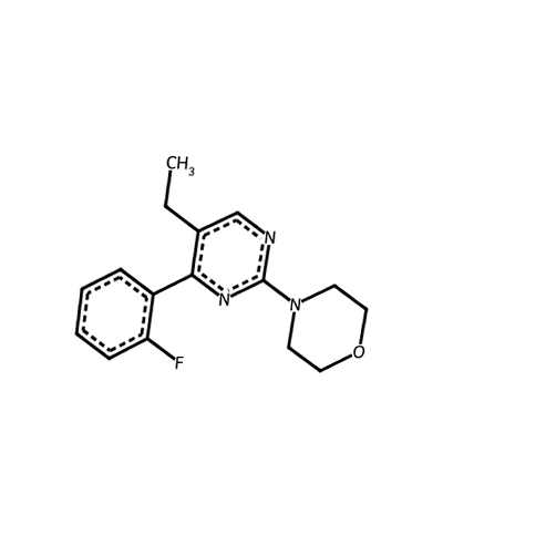 CCc1cnc(N2CCOCC2)nc1-c1ccccc1F